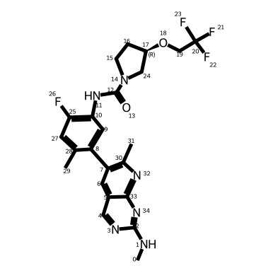 CNc1ncc2cc(-c3cc(NC(=O)N4CC[C@@H](OCC(F)(F)F)C4)c(F)cc3C)c(C)nc2n1